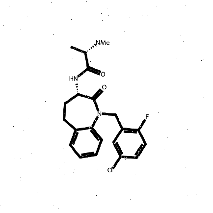 CN[C@@H](C)C(=O)N[C@H]1CCc2ccccc2N(Cc2cc(Cl)ccc2F)C1=O